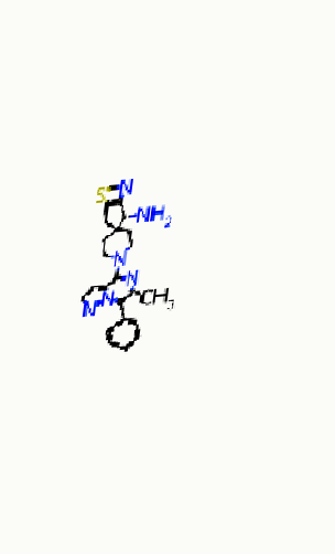 Cc1nc(N2CCC3(CC2)Cc2scnc2[C@H]3N)c2ccnn2c1-c1ccccc1